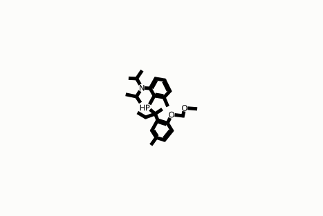 CCC(C)(Pc1c(C)cccc1N(C(C)C)C(C)C)c1cc(C)ccc1OCOC